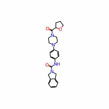 O=C(Nc1ccc(N2CCN(C(=O)C3CCCO3)CC2)cc1)N1Cc2ccccc2C1